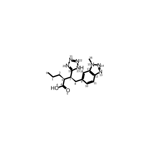 CCC[C@H](C(=O)O)[C@H](Cc1ccc2nnn(C)c2c1)c1nnn[nH]1